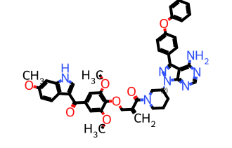 C=C(COc1c(OC)cc(C(=O)c2c[nH]c3cc(OC)ccc23)cc1OC)C(=O)N1CCC[C@@H](n2nc(-c3ccc(Oc4ccccc4)cc3)c3c(N)ncnc32)C1